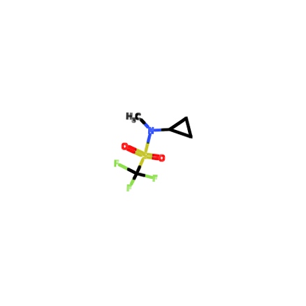 CN(C1CC1)S(=O)(=O)C(F)(F)F